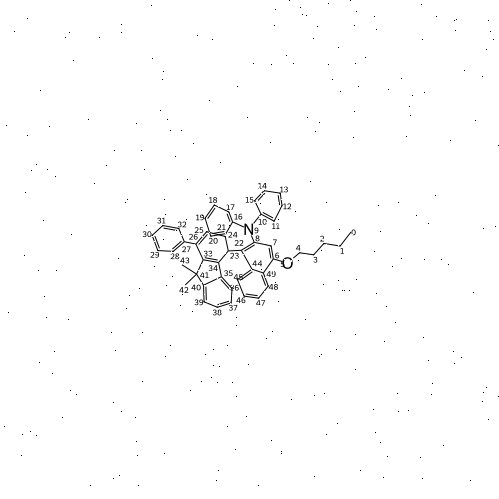 CCCCCOc1cc(N(c2ccccc2)c2ccccc2)c(C2CC=C(c3ccccc3)C3=C2c2ccccc2C3(C)C)c2ccccc12